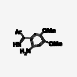 COc1cc(N)c(C(=N)C(C)=O)cc1OC